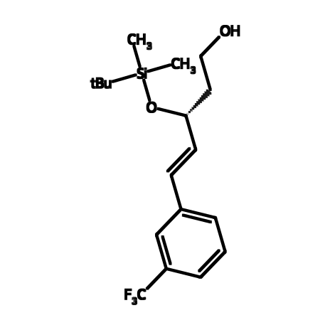 CC(C)(C)[Si](C)(C)O[C@@H](/C=C/c1cccc(C(F)(F)F)c1)CCO